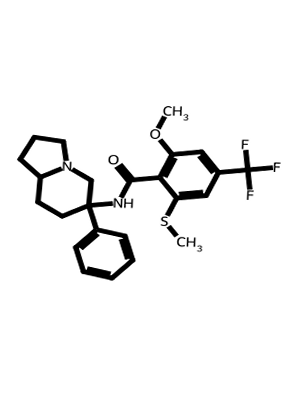 COc1cc(C(F)(F)F)cc(SC)c1C(=O)NC1(c2ccccc2)CCC2CCCN2C1